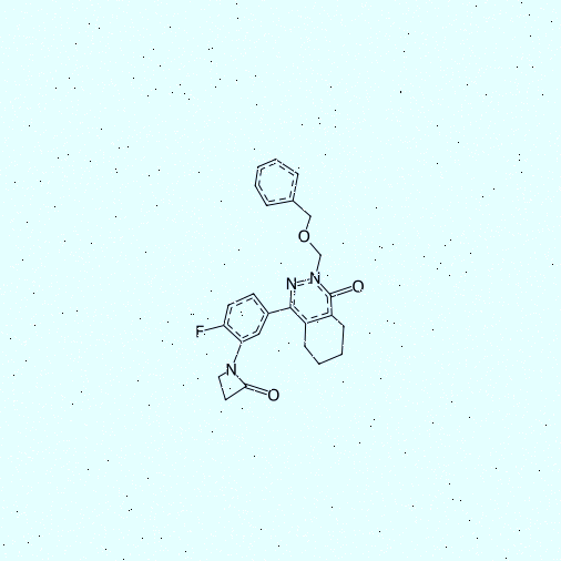 O=C1CCN1c1cc(-c2nn(COCc3ccccc3)c(=O)c3c2CCCC3)ccc1F